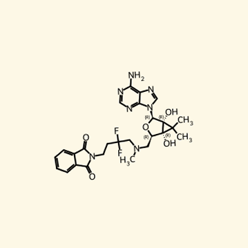 CN(C[C@H]1O[C@@H](n2cnc3c(N)ncnc32)[C@@]2(O)C(C)(C)[C@@]12O)CC(F)(F)CCN1C(=O)c2ccccc2C1=O